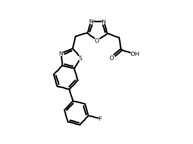 O=C(O)Cc1nnc(Cc2nc3ccc(-c4cccc(F)c4)cc3s2)o1